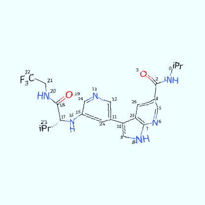 CC(C)NC(=O)c1cnc2[nH]cc(-c3cncc(N[C@@H](C(=O)NCC(F)(F)F)C(C)C)c3)c2c1